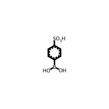 O=S(=O)(O)c1ccc(B(O)O)cc1